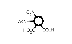 CC(=O)Nc1c([N+](=O)[O-])ccc(C(=O)O)c1C(=O)O